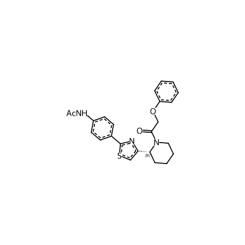 CC(=O)Nc1ccc(-c2nc([C@H]3CCCCN3C(=O)COc3ccccc3)cs2)cc1